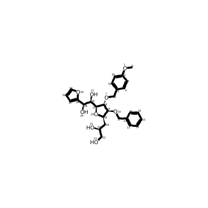 COc1ccc(CO[C@@H]2[C@@H](OCc3ccccc3)[C@@H](C[C@H](O)CO)O[C@H]2[C@H](O)[C@@H](O)c2ccco2)cc1